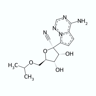 CC(C)OC[C@H]1O[C@@](C#N)(c2ccc3c(N)ncnn23)[C@H](O)[C@@H]1O